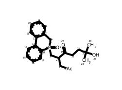 CC(=O)CC(CP1(=O)Cc2ccccc2-c2ccccc21)C(=O)CCC(C)(C)O